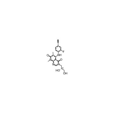 C#Cc1ccc(Nc2c(C)c(=O)n(C)c3ncn(C[C@@H](O)CO)c(=O)c23)c(F)c1